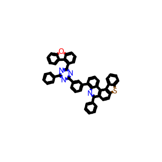 c1ccc(-c2nc(-c3cccc(-c4cccc5c4nc(-c4ccccc4)c4ccc6sc7ccccc7c6c45)c3)nc(-c3cccc4oc5ccccc5c34)n2)cc1